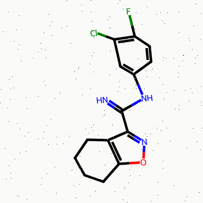 N=C(Nc1ccc(F)c(Cl)c1)c1noc2c1CCCC2